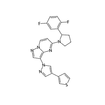 Fc1ccc(F)c(C2CCCN2c2ccn3ncc(-n4cc(-c5ccsc5)cn4)c3n2)c1